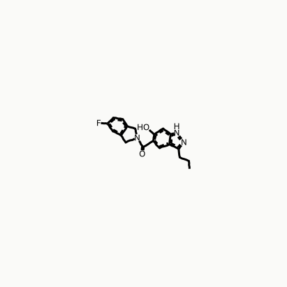 CCCc1n[nH]c2cc(O)c(C(=O)N3Cc4ccc(F)cc4C3)cc12